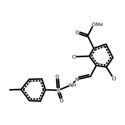 COC(=O)c1ccc(Cl)c(C=NNS(=O)(=O)c2ccc(C)cc2)c1Cl